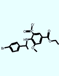 CCOC(=O)c1cc(OC)c(NC(C)c2ccc(Br)cc2)c([N+](=O)[O-])c1